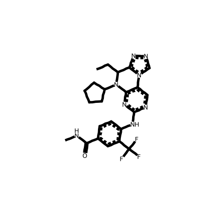 CCC1c2nncn2-c2cnc(Nc3ccc(C(=O)NC)cc3C(F)(F)F)nc2N1C1CCCC1